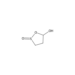 O=S1CCC(O)O1